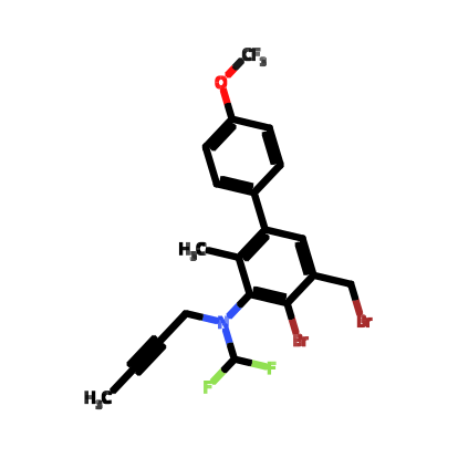 CC#CCN(c1c(C)c(-c2ccc(OC(F)(F)F)cc2)cc(CBr)c1Br)C(F)F